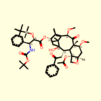 CO[C@H]1C(=O)[C@@]2(C)C([C@H](CC(=O)c3ccccc3)[C@]3(O)C[C@H](OC(=O)[C@H](O[Si](C)(C)C(C)(C)C)[C@@H](NC(=O)OC(C)(C)C)c4ccccc4)C(C)=C1C3(C)C)[C@]1(OC(C)=O)CO[C@@H]1C[C@@H]2OC